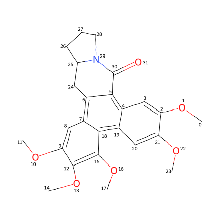 COc1cc2c3c(c4cc(OC)c(OC)c(OC)c4c2cc1OC)CC1CCCN1C3=O